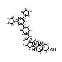 CC1C[C@H]2[C@@H]3CC=C4C[C@@H](O)CC[C@]4(C)[C@H]3CC[C@]2(C)[C@H]1C(=O)CN1CCN(c2cc(N3CCCC3)nc(N3CCCC3)n2)CC1